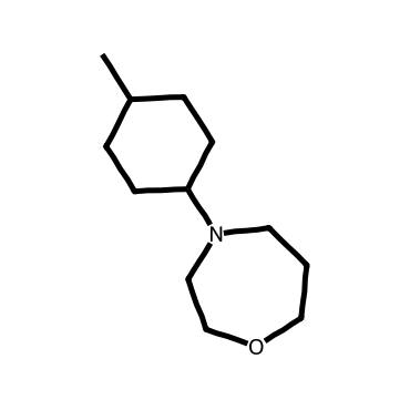 CC1CCC(N2CCCOCC2)CC1